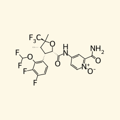 C[C@H]1[C@@H](c2ccc(F)c(F)c2OC(F)F)[C@@H](C(=O)Nc2cc[n+]([O-])c(C(N)=O)c2)O[C@]1(C)C(F)(F)F